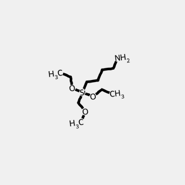 CCO[Si](CCCCN)(COC)OCC